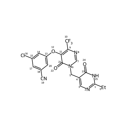 CCc1ncc(Cn2cnc(C(F)(F)F)c(Oc3cc(Cl)cc(C#N)c3)c2=O)c(=O)[nH]1